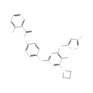 Cc1cc(Nc2nc(Sc3ccc(NC(=O)c4ccccc4Cl)cc3)nc(N3CCC3)c2F)[nH]n1